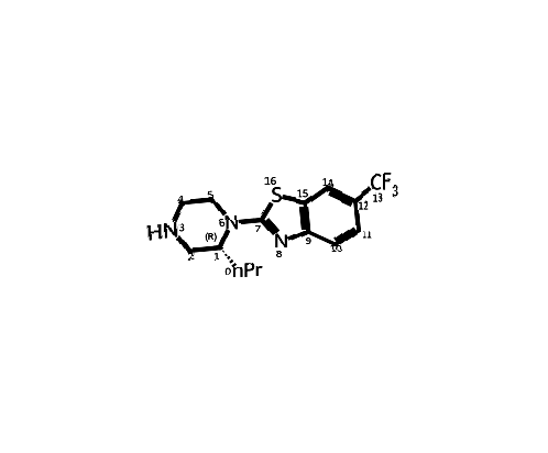 CCC[C@@H]1CNCCN1c1nc2ccc(C(F)(F)F)cc2s1